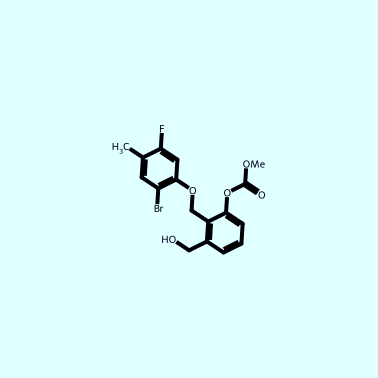 COC(=O)Oc1cccc(CO)c1COc1cc(F)c(C)cc1Br